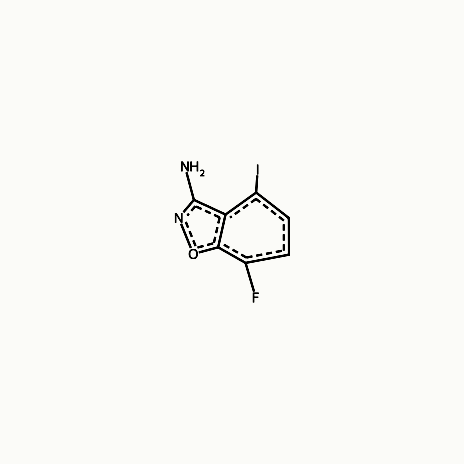 Nc1noc2c(F)ccc(I)c12